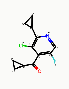 O=C(c1c(F)cnc(C2CC2)c1Cl)C1CC1